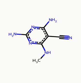 CNc1nc(N)nc(N)c1C#N